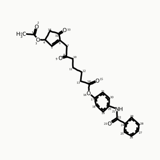 CC(=O)OC1C=C(CC(=O)CCCCC(=O)Oc2ccc(NC(=O)c3ccccc3)cc2)C(=O)C1